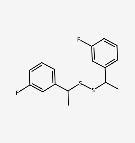 CC(SSC(C)c1cccc(F)c1)c1cccc(F)c1